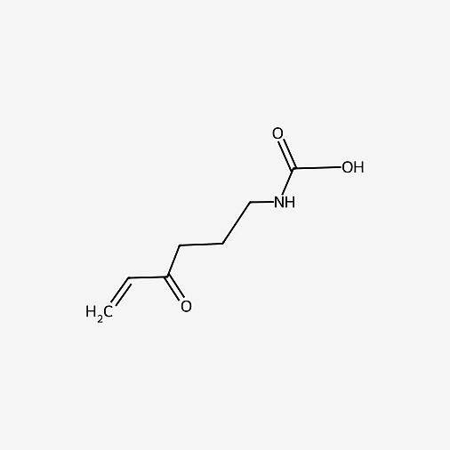 C=CC(=O)CCCNC(=O)O